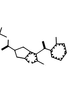 CCOC(=O)C1Cc2sc(N)c(C(=O)c3ccccc3Cl)c2C1